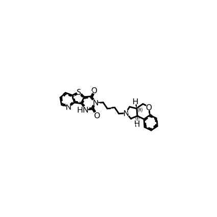 O=c1[nH]c2c(sc3cccnc32)c(=O)n1CCCCN1C[C@@H]2COc3ccccc3[C@H]2C1